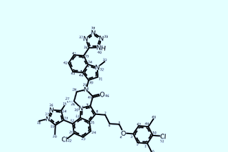 Cc1cc(OCCCc2c3n(c4c(-c5c(C)nn(C)c5C)c(Cl)ccc24)[C@H](C)CN(c2cn(C)c4c(-c5nnn[nH]5)cccc24)C3=O)cc(C)c1Cl